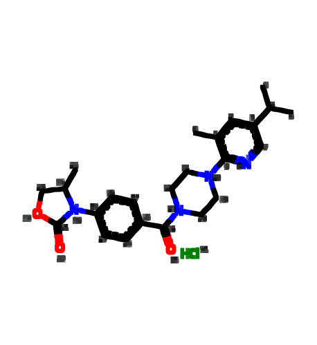 Cc1cc(C(C)C)cnc1N1CCN(C(=O)c2ccc(N3C(=O)OCC3C)cc2)CC1.Cl